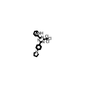 ClC(Cl)(Cl)c1nc(-c2ccc(N3CCCC3)cc2)nc(N2CC3CCC2CN3)n1